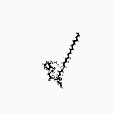 CCCCCCCCCCCCCCCCOCCCOP(=O)(COC(C)Cn1cnc2c(N)ncnc21)OCC